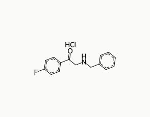 Cl.O=C(CNCc1ccccc1)c1ccc(F)cc1